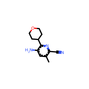 Cc1cc(N)c(C2CCOCC2)nc1C#N